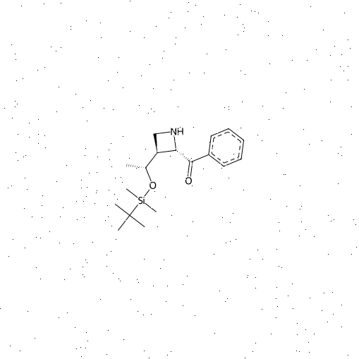 C[C@@H](O[Si](C)(C)C(C)(C)C)[C@H]1CN[C@@H]1C(=O)c1ccccc1